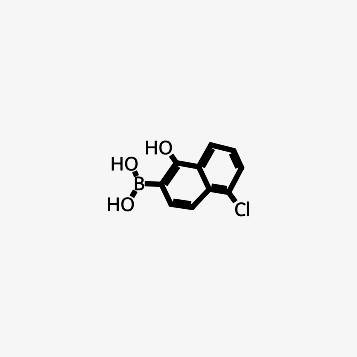 OB(O)c1ccc2c(Cl)cccc2c1O